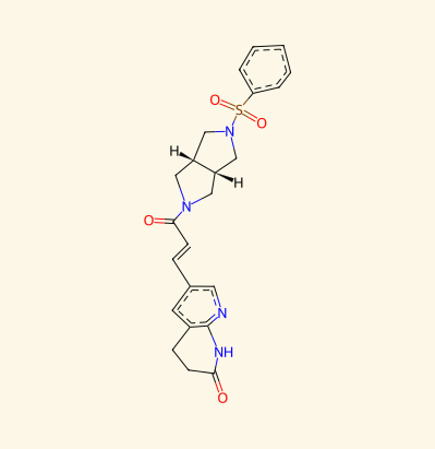 O=C1CCc2cc(/C=C/C(=O)N3C[C@@H]4CN(S(=O)(=O)c5ccccc5)C[C@@H]4C3)cnc2N1